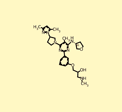 CNCC(O)COc1cccc(-c2nc(N[C@@H]3CCOC3)c(C)c(N3CCC(n4nc(C)cc4C)C3)n2)c1